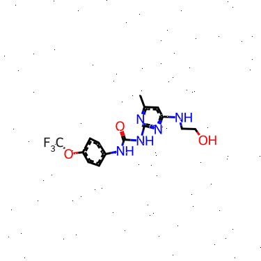 Cc1cc(NCCO)nc(NC(=O)Nc2ccc(OC(F)(F)F)cc2)n1